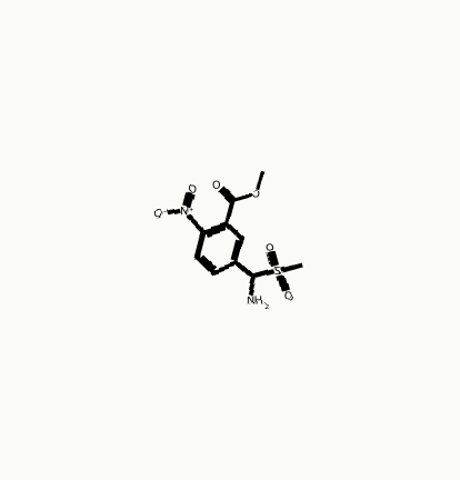 COC(=O)c1cc(C(N)S(C)(=O)=O)ccc1[N+](=O)[O-]